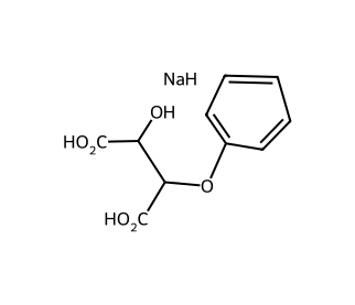 O=C(O)C(O)C(Oc1ccccc1)C(=O)O.[NaH]